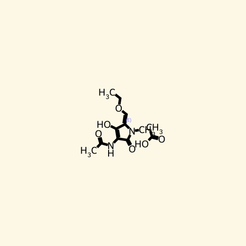 CC(=O)O.CCO/C=C1\C(O)=C(NC(C)=O)C(=O)N1C